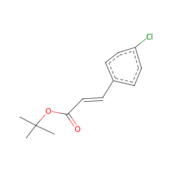 CC(C)(C)OC(=O)/C=C/c1ccc(Cl)cc1